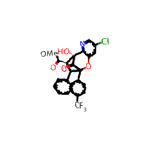 COC(=O)[C@@H]1C(c2ccccc2)C2(c3ccc(C(F)(F)F)cc3)Oc3cc(Cl)cnc3[C@@]1(O)C2=O